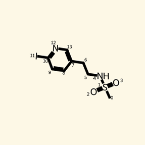 CS(=O)(=O)NCCc1ccc(I)nc1